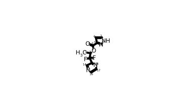 CC(OC(=O)c1cc[nH]n1)C(F)(F)c1cnccn1